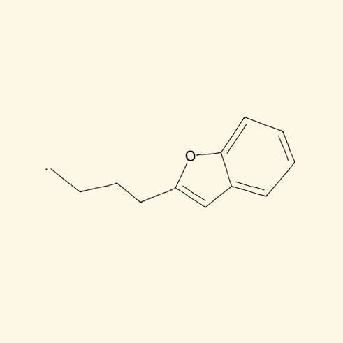 [CH2]CCCc1cc2ccccc2o1